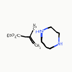 C1CNCCN1.C=C(C)C(=O)OCC